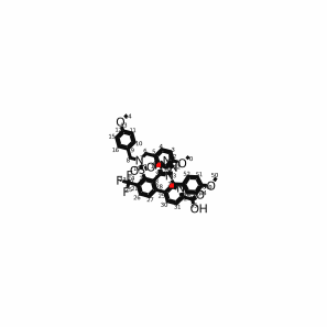 COc1ccc(CN(Cc2ccc(OC)cc2)S(=O)(=O)c2c(C(F)(F)F)ccc(-c3ccc(C(=O)O)nc3)c2-c2nnnn2Cc2ccc(OC)cc2)cc1